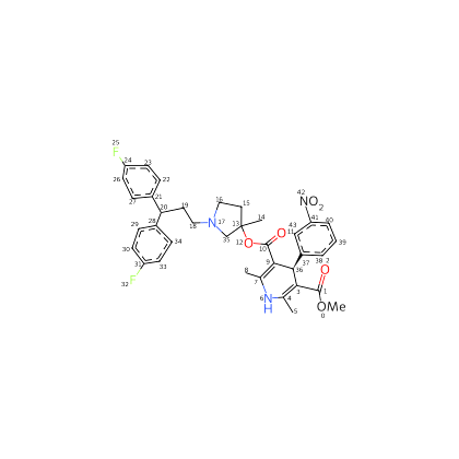 COC(=O)C1=C(C)NC(C)=C(C(=O)OC2(C)CCN(CCC(c3ccc(F)cc3)c3ccc(F)cc3)C2)[C@H]1c1cccc([N+](=O)[O-])c1